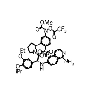 CCOc1cc([C@@H](Nc2ccc3c(N)nccc3c2)C(=O)N2CCC[C@H]2c2cc(N(OC(=O)C(F)(F)F)C(=O)OC)ccc2S(=O)(=O)C(C)C)ccc1OC(C)C